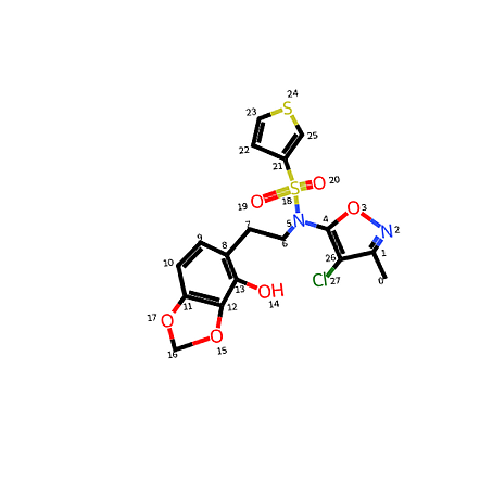 Cc1noc(N(CCc2ccc3c(c2O)OCO3)S(=O)(=O)c2ccsc2)c1Cl